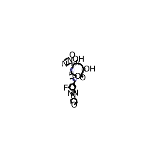 C/C(=C\c1cc(F)c2nn(C3CCOCC3)nc2c1)[C@H]1OC(=O)C[C@H](O)CC[C@H](C)[C@@H](C2CN(C)CCN2C(=O)O)/C=C/[C@@H]1C